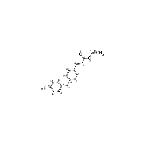 C=COC(=O)C=Cc1ccc(Cc2ccc(F)cc2)cc1